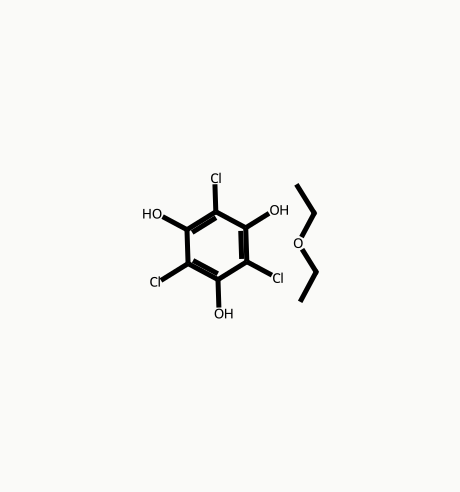 CCOCC.Oc1c(Cl)c(O)c(Cl)c(O)c1Cl